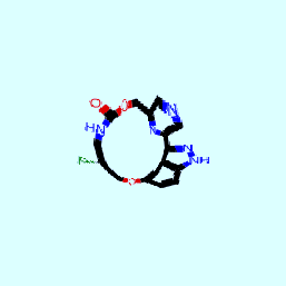 O=C1NC[C@@H](F)COc2ccc3[nH]nc(c3c2)-c2cncc(n2)CO1